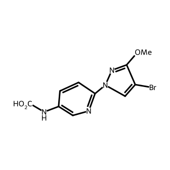 COc1nn(-c2ccc(NC(=O)O)cn2)cc1Br